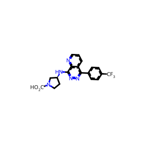 O=C(O)N1CC[C@H](Nc2nnc(-c3ccc(C(F)(F)F)cc3)c3cccnc23)C1